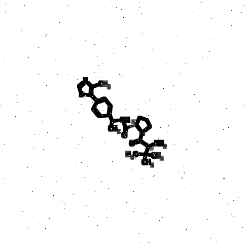 Cc1ncsc1-c1ccc(C(C)NC(=O)[C@@H]2CCCN2C(=O)[C@@H](N)C(C)(C)C)cc1